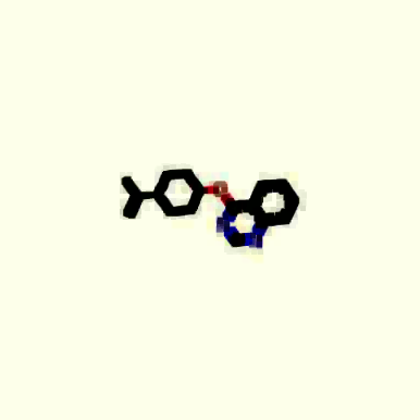 C=C(C)[C@H]1CC[C@@H](Oc2ncnc3ccccc23)CC1